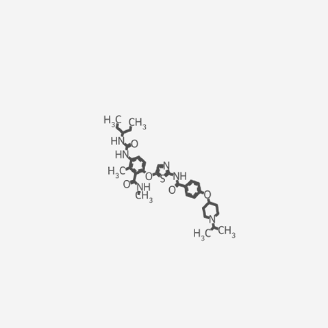 CCC(CC)NC(=O)Nc1ccc(Oc2cnc(NC(=O)c3ccc(OC4CCN(C(C)C)CC4)cc3)s2)c(C(=O)NC)c1C